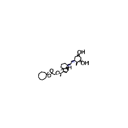 C=C1/C(=C\C=C2/CCC[C@]3(C)C(C(C)OCC(=O)OC4(C)CCCCCCC4)=CC[C@@H]23)C[C@@H](O)C[C@@H]1O